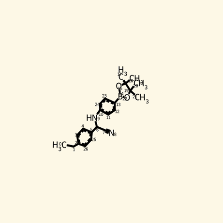 CCc1ccc(C(C#N)Nc2ccc(B3OC(C)(C)C(C)(C)O3)cc2)cc1